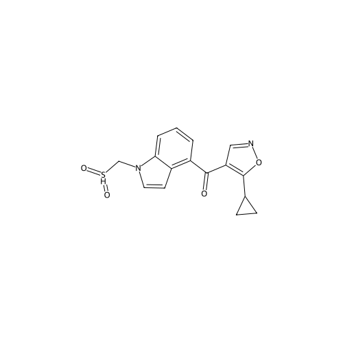 O=C(c1cnoc1C1CC1)c1cccc2c1ccn2C[SH](=O)=O